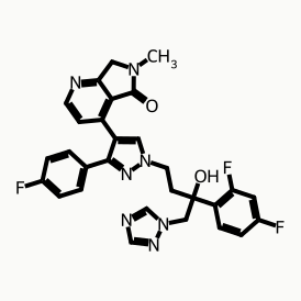 CN1Cc2nccc(-c3cn(CCC(O)(Cn4cncn4)c4ccc(F)cc4F)nc3-c3ccc(F)cc3)c2C1=O